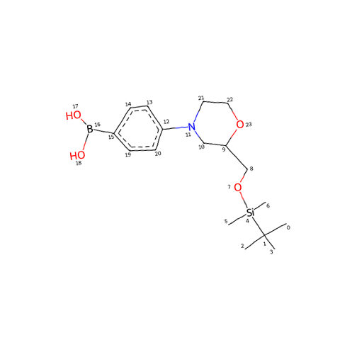 CC(C)(C)[Si](C)(C)OCC1CN(c2ccc(B(O)O)cc2)CCO1